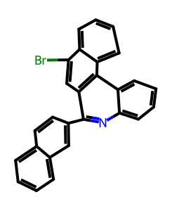 Brc1cc2c(-c3ccc4ccccc4c3)nc3ccccc3c2c2ccccc12